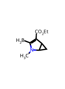 BC1=C(C(=O)OCC)C2CC2N1C